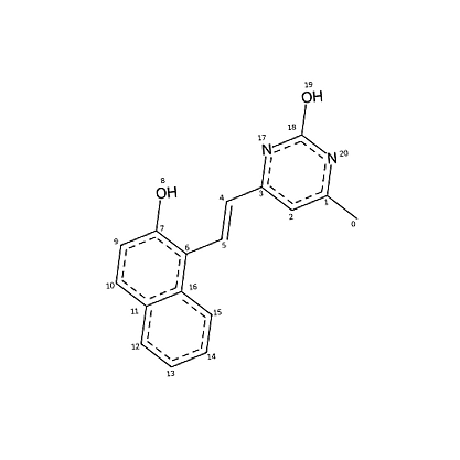 Cc1cc(C=Cc2c(O)ccc3ccccc23)nc(O)n1